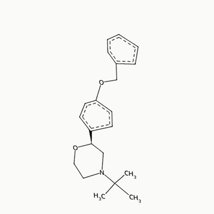 CC(C)(C)N1CCO[C@@H](c2ccc(OCc3ccccc3)cc2)C1